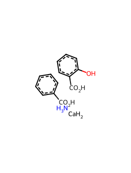 N.O=C(O)c1ccccc1.O=C(O)c1ccccc1O.[CaH2]